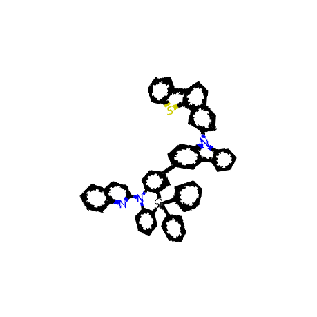 c1ccc([Si]2(c3ccccc3)c3ccccc3N(c3ccc4ccccc4n3)c3ccc(-c4ccc5c(c4)c4ccccc4n5-c4ccc5ccc6c7ccccc7sc6c5c4)cc32)cc1